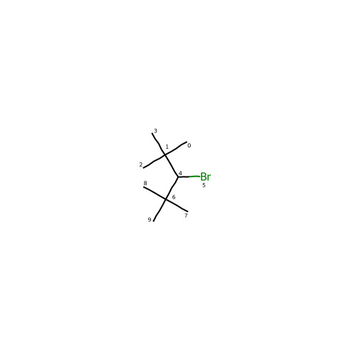 CC(C)(C)C(Br)C(C)(C)C